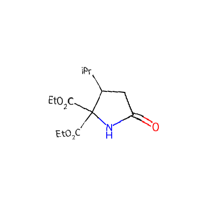 CCOC(=O)C1(C(=O)OCC)NC(=O)CC1C(C)C